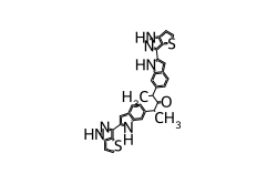 CC(C(=O)C(C)c1ccc2cc(-c3n[nH]c4ccsc34)[nH]c2c1)c1ccc2cc(-c3n[nH]c4ccsc34)[nH]c2c1